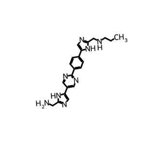 CCCNCc1ncc(-c2ccc(-c3ncc(-c4cnc(CN)[nH]4)cn3)cc2)[nH]1